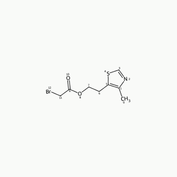 Cc1ncsc1CCOC(=O)CBr